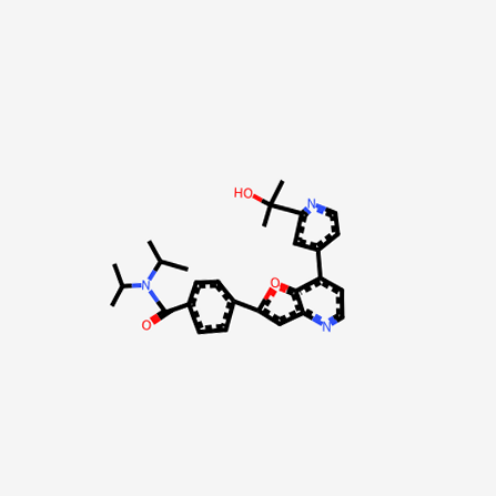 CC(C)N(C(=O)c1ccc(-c2cc3nccc(-c4ccnc(C(C)(C)O)c4)c3o2)cc1)C(C)C